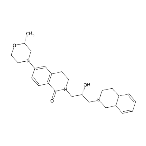 C[C@@H]1CN(c2ccc3c(c2)CCN(C[C@H](O)CN2CCC4C=CC=CC4C2)C3=O)CCO1